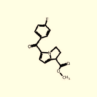 COC(=O)C1CCn2c(C(=O)c3ccc(F)cc3)ccc21